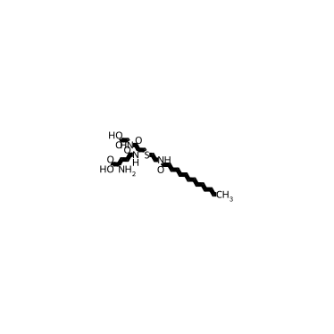 CCCCCCCCCCCCCC(=O)NCCSCC(NC(=O)CCC(N)C(=O)O)C(=O)NCC(=O)O